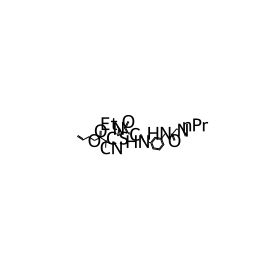 C=CCOC(=O)C(=C=c1sc(=C=CNc2cccc(NC(=O)CN(C)CCC)c2)c(=O)n1CC)C#N